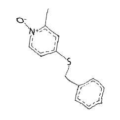 Cc1cc(SCc2ccccc2)cc[n+]1[O-]